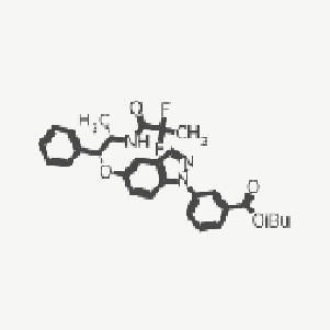 CC(C)COC(=O)c1cccc(-n2ncc3cc(O[C@H](c4ccccc4)[C@H](C)NC(=O)C(C)(F)F)ccc32)c1